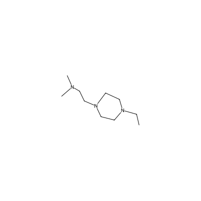 CCN1CCN(CCN(C)C)CC1